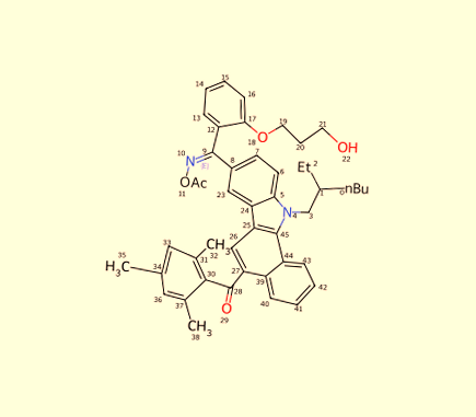 CCCCC(CC)Cn1c2ccc(/C(=N\OC(C)=O)c3ccccc3OCCCO)cc2c2cc(C(=O)c3c(C)cc(C)cc3C)c3ccccc3c21